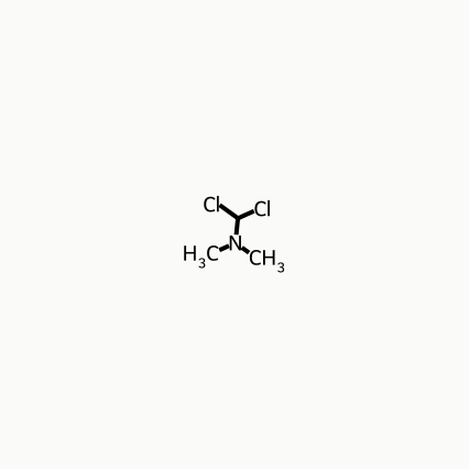 CN(C)C(Cl)Cl